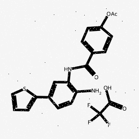 CC(=O)Oc1ccc(C(=O)Nc2cc(-c3cccs3)ccc2N)cc1.O=C(O)C(F)(F)F